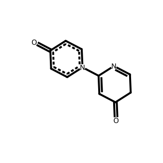 O=C1C=C(n2ccc(=O)cc2)N=CC1